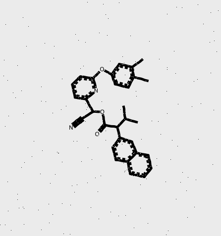 Cc1ccc(Oc2cccc(C(C#N)OC(=O)C(c3ccc4ccccc4c3)C(C)C)n2)cc1C